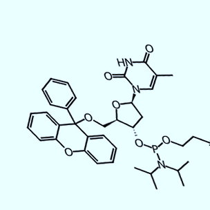 Cc1cn([C@H]2C[C@H](OP(OCCC#N)N(C(C)C)C(C)C)[C@@H](COC3(c4ccccc4)c4ccccc4Oc4ccccc43)O2)c(=O)[nH]c1=O